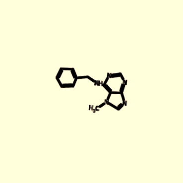 Cn1cnc2ncnc(NCc3ccccc3)c21